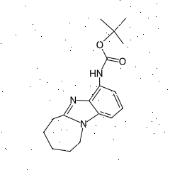 CC(C)(C)OC(=O)Nc1cccc2c1nc1n2CCCCC1